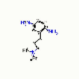 CCN(CC)CCCc1cc(N)ccc1N